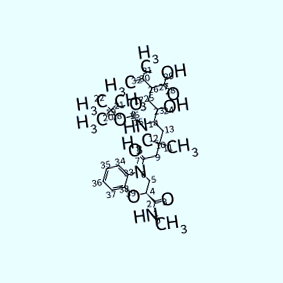 CNC(=O)[C@@H]1CN(C(=O)CC(C)(C)CC(NC(=O)OC(C)(C)C)C(O)CC(C(=O)O)C(C)C)c2ccccc2O1